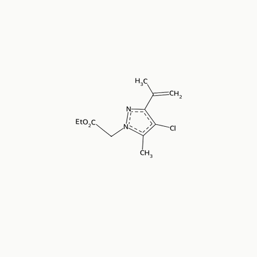 C=C(C)c1nn(CC(=O)OCC)c(C)c1Cl